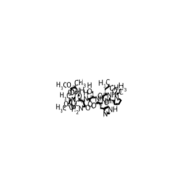 COC(=O)[C@H](C)NP(=O)(N[C@@H](C)C(=O)OC)O[C@H](C)[C@H](NC(=O)[C@H](CO)NC(=O)[C@H](Cc1c[nH]cn1)NC(=O)[C@H](CC(C)C)NC(=O)[C@@H]1CCCN1C(C)=O)C(N)=O